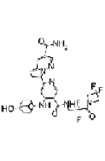 NC(=O)c1cnn2c(-c3cc(NC45CCC(O)(CC4)CC5)c(C(=O)NCC(F)(F)C(=O)N4CC(F)(F)C4)cn3)ccc2c1